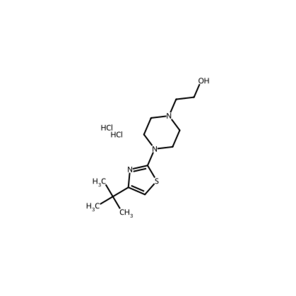 CC(C)(C)c1csc(N2CCN(CCO)CC2)n1.Cl.Cl